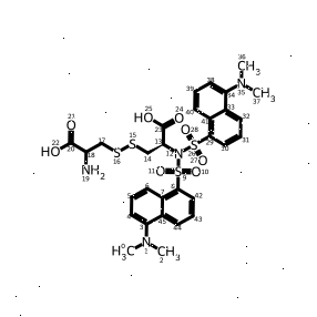 CN(C)c1cccc2c(S(=O)(=O)N([C@@H](CSSCC(N)C(=O)O)C(=O)O)S(=O)(=O)c3cccc4c(N(C)C)cccc34)cccc12